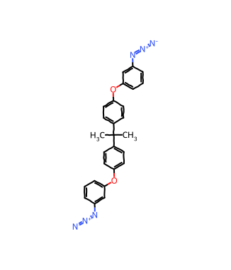 CC(C)(c1ccc(Oc2cccc(N=[N+]=[N-])c2)cc1)c1ccc(Oc2cccc(N=[N+]=[N-])c2)cc1